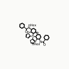 CCCCCCN(C(=O)c1ccccc1)c1ccc(F)[c]([Ti]([C]2=CC=CC2)([C]2=CC=CC2)[c]2c(F)ccc(N(CCCCCC)C(=O)c3ccccc3)c2F)c1F